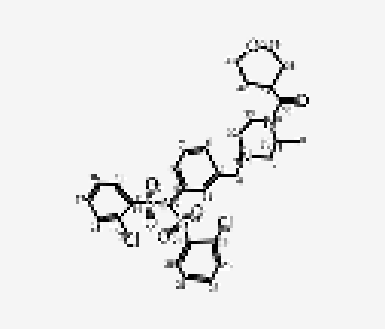 C[C@H]1CN(Cc2cccc(N(S(=O)(=O)c3ccccc3Cl)S(=O)(=O)c3ccccc3Cl)c2)CCN1C(=O)C1CCOCC1